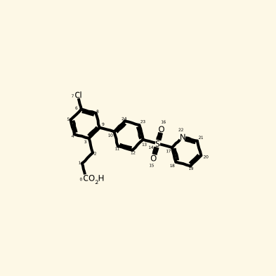 O=C(O)CCc1ccc(Cl)cc1-c1ccc(S(=O)(=O)c2ccccn2)cc1